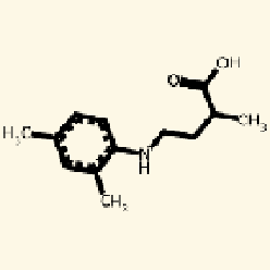 Cc1ccc(NCCC(C)C(=O)O)c(C)c1